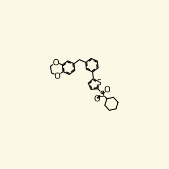 O=S(=O)(c1ccc(-c2cccc(Cc3ccc4c(c3)OCCO4)c2)s1)C1CCCCC1